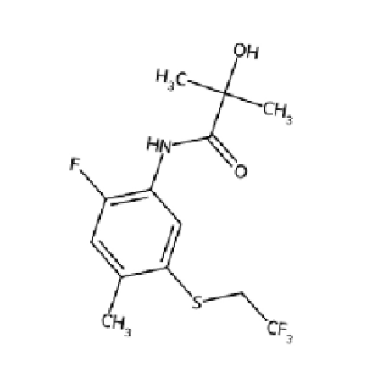 Cc1cc(F)c(NC(=O)C(C)(C)O)cc1SCC(F)(F)F